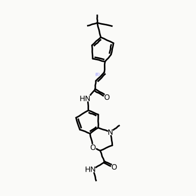 CNC(=O)C1CN(C)c2cc(NC(=O)/C=C/c3ccc(C(C)(C)C)cc3)ccc2O1